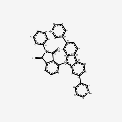 O=C1c2cccc(-n3c4cc(-c5cccnc5)ccc4c4ccc(-c5cccnc5)cc43)c2C(=O)N1c1ccccc1